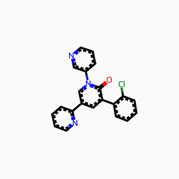 O=c1c(-c2ccccc2Cl)cc(-c2ccccn2)cn1-c1cccnc1